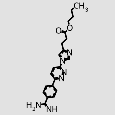 CCCCOC(=O)CCc1cn(-c2ccc(-c3ccc(C(=N)N)cc3)nn2)cn1